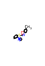 Cc1ccc2nc(CSc3ccccc3N3CCC=N3)oc2c1